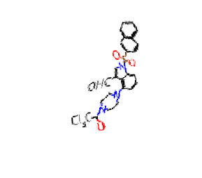 O=Cc1cn(S(=O)(=O)c2ccc3ccccc3c2)c2cccc(N3CCN(C(=O)C(Cl)(Cl)Cl)CC3)c12